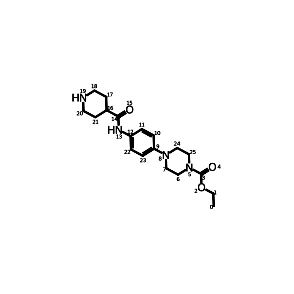 CCOC(=O)N1CCN(c2ccc(NC(=O)C3CCNCC3)cc2)CC1